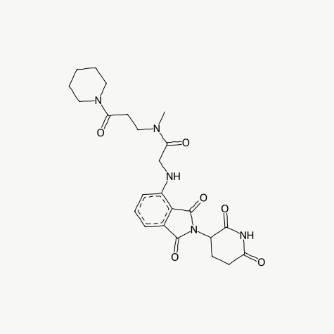 CN(CCC(=O)N1CCCCC1)C(=O)CNc1cccc2c1C(=O)N(C1CCC(=O)NC1=O)C2=O